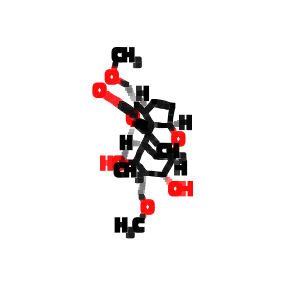 COC[C@H]1[C@@H](O)[C@H]2C[C@@H]([C@@H]1O)[C@]13/C(C)=C/[C@@H](C)COC(=O)[C@H](COC)[C@H]1C=C[C@H]3O2